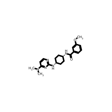 COc1cccc(C(=O)N[C@H]2CC[C@@H](Nc3nccc(N(C)C)n3)CC2)c1